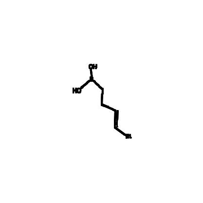 CCC=CCCB(O)O